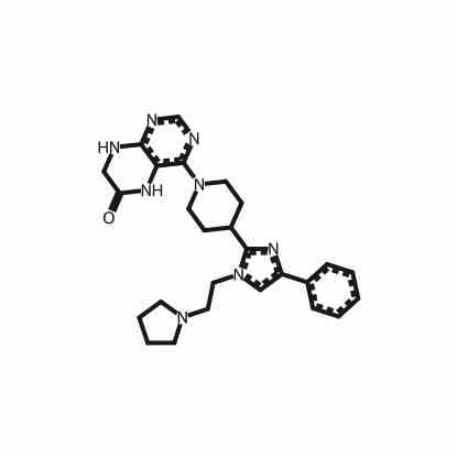 O=C1CNc2ncnc(N3CCC(c4nc(-c5ccccc5)cn4CCN4CCCC4)CC3)c2N1